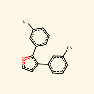 N#Cc1cccc(-c2ccoc2-c2cccc(C#N)c2)c1